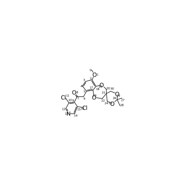 COc1ccc(CC(=O)c2c(Cl)cncc2Cl)c2c1OCC1(CO2)COC(C)(C)OC1